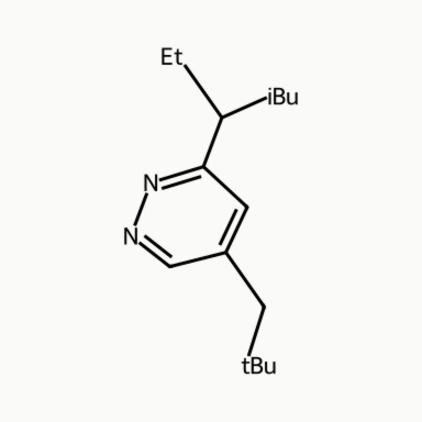 CCC(C)C(CC)c1cc(CC(C)(C)C)cnn1